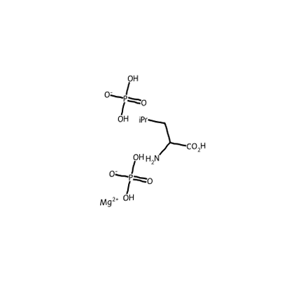 CC(C)CC(N)C(=O)O.O=P([O-])(O)O.O=P([O-])(O)O.[Mg+2]